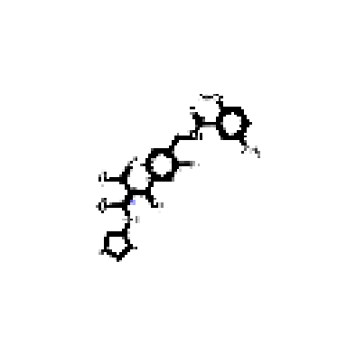 COc1ccc(C)cc1C(=O)NCc1ccc(C(=N)/C(C(N)=O)=C(/N)NC2CCCC2)cc1F